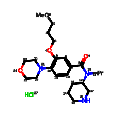 COCCCOc1cc(C(=O)N(C(C)C)[C@@H]2CCCNC2)ccc1N1CCOCC1.Cl